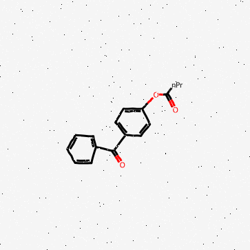 CCCC(=O)Oc1ccc(C(=O)c2ccccc2)cc1